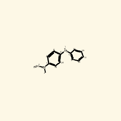 CCCN(C)c1ccc([Te]c2ccccc2)cc1